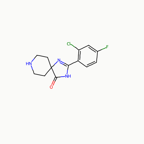 O=C1NC(c2ccc(F)cc2Cl)=NC12CCNCC2